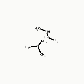 CN(C)N.CNNC